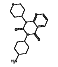 NC1CCC(n2c(=O)c3cccnc3n(C3CCSCC3)c2=O)CC1